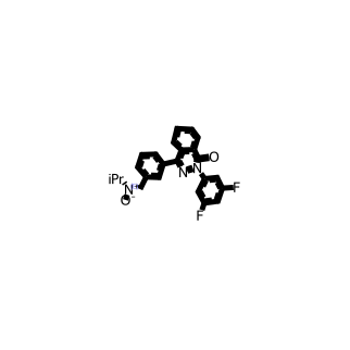 CC(C)/[N+]([O-])=C\c1cccc(-c2nn(-c3cc(F)cc(F)c3)c(=O)c3ccccc23)c1